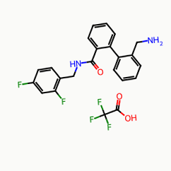 NCc1ccccc1-c1ccccc1C(=O)NCc1ccc(F)cc1F.O=C(O)C(F)(F)F